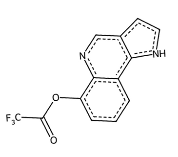 O=C(Oc1cccc2c1ncc1cc[nH]c12)C(F)(F)F